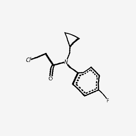 O=C(CCl)N(c1ccc(F)cc1)C1CC1